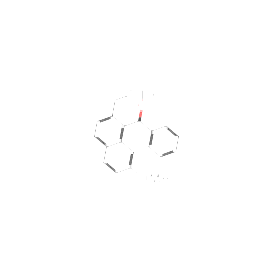 COc1ccc2ccc(CC=O)c(C(=O)c3ccccc3)c2c1